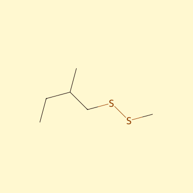 CCC(C)CSSC